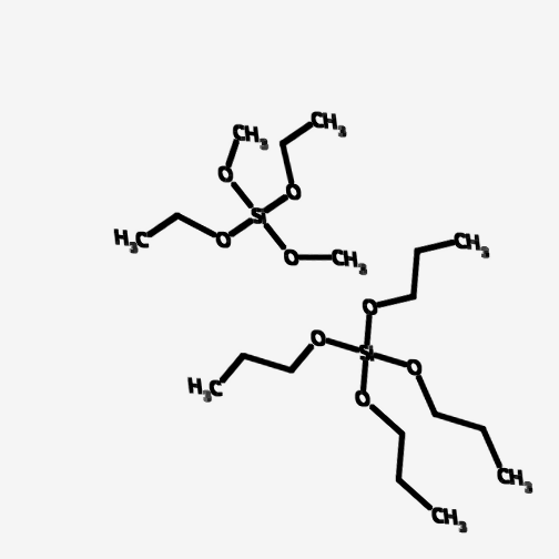 CCCO[Si](OCCC)(OCCC)OCCC.CCO[Si](OC)(OC)OCC